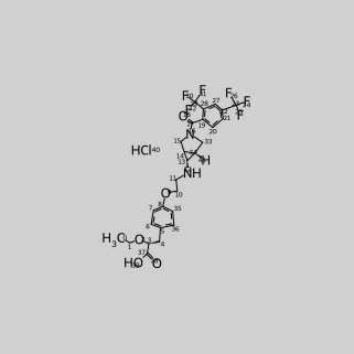 CCO[C@@H](Cc1ccc(OCCN[C@H]2C3CN(C(=O)c4ccc(C(F)(F)F)cc4C(F)(F)F)C[C@@H]32)cc1)C(=O)O.Cl